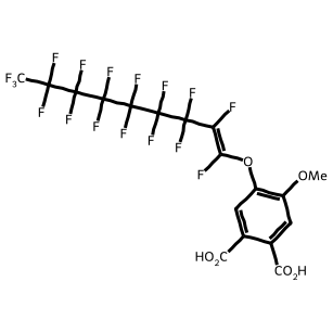 COc1cc(C(=O)O)c(C(=O)O)cc1OC(F)=C(F)C(F)(F)C(F)(F)C(F)(F)C(F)(F)C(F)(F)C(F)(F)C(F)(F)F